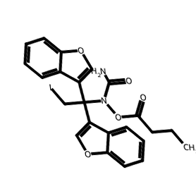 CCCC(=O)ON(C(N)=O)C(CI)(c1coc2ccccc12)c1coc2ccccc12